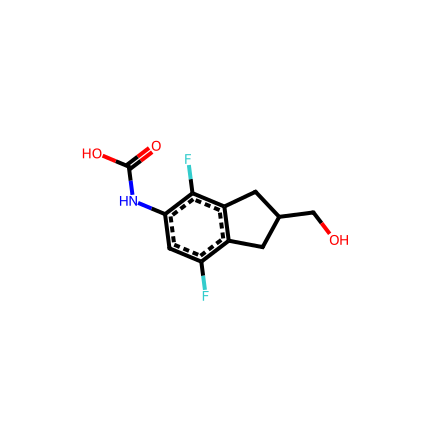 O=C(O)Nc1cc(F)c2c(c1F)CC(CO)C2